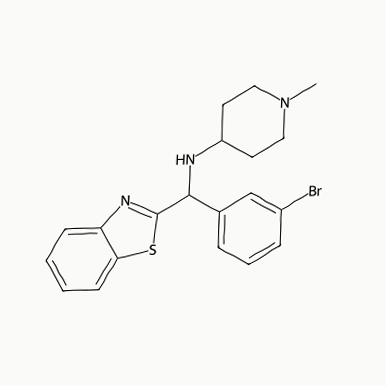 CN1CCC(NC(c2cccc(Br)c2)c2nc3ccccc3s2)CC1